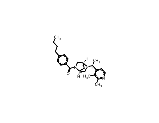 CCCCc1ccc(C(=O)N2C[C@@H]3C[C@H]2CN3[C@@H](C)c2ccnc(C)c2C)cc1